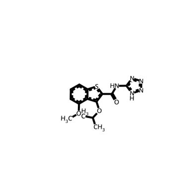 COc1cccc2sc(C(=O)Nc3nnn[nH]3)c(OC(C)C)c12